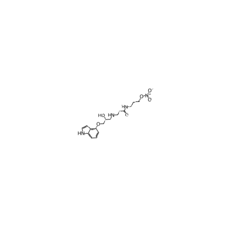 O=C(CCNCC(O)COc1cccc2[nH]ccc12)NCCCO[N+](=O)[O-]